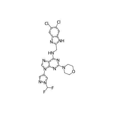 FC(F)n1cc(-n2cnc3c(NCc4nc5cc(Cl)c(Cl)cc5[nH]4)nc(N4CCOCC4)nc32)cn1